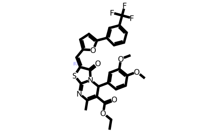 CCOC(=O)C1=C(C)N=c2s/c(=C/c3ccc(-c4cccc(C(F)(F)F)c4)o3)c(=O)n2C1c1ccc(OC)c(OC)c1